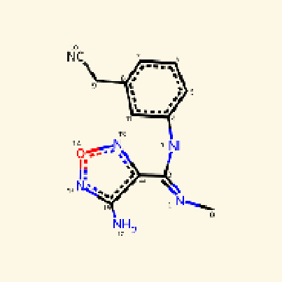 C/N=C(\Nc1cccc(CC#N)c1)c1nonc1N